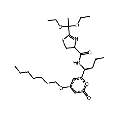 CCCCCCCOc1cc(C(CCC)NC(=O)C2CSC(C(C)(OCC)OCC)=N2)oc(=O)c1